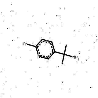 CC(C)c1ccc(C(C)(C)N)cn1